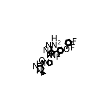 CNC1(/C=C(\C#N)C(=O)N2CCC[C@H]2Cn2nc(-c3ccc(Oc4cccc(F)c4F)cc3F)c3c(N)ncnc32)CC1